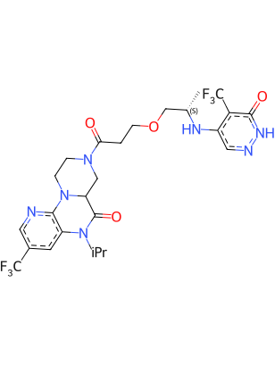 CC(C)N1C(=O)C2CN(C(=O)CCOC[C@H](C)Nc3cn[nH]c(=O)c3C(F)(F)F)CCN2c2ncc(C(F)(F)F)cc21